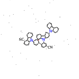 N#Cc1ccc(-c2ccc(-n3c4ccccc4c4c(C#N)cccc43)cc2)c(-n2c3ccccc3c3cc(-n4c5ccccc5c5ccccc54)ccc32)c1